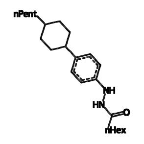 CCCCCCC(=O)NNc1ccc(C2CCC(CCCCC)CC2)cc1